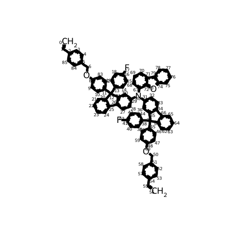 C=Cc1ccc(COc2ccc(C3(c4ccc(F)cc4)c4ccccc4-c4ccc(N(c5ccc6c(c5)C(c5ccc(F)cc5)(c5ccc(OCc7ccc(C=C)cc7)cc5)c5ccccc5-6)c5cccc6c5oc5ccccc56)cc43)cc2)cc1